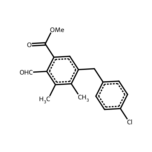 COC(=O)c1cc(Cc2ccc(Cl)cc2)c(C)c(C)c1C=O